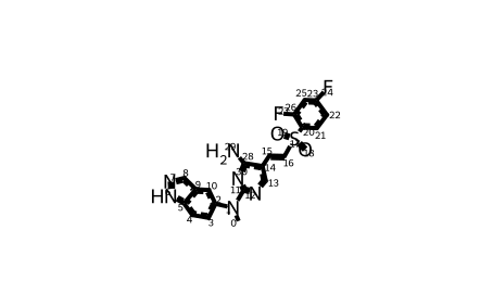 CN(c1ccc2[nH]ncc2c1)c1ncc(/C=C/S(=O)(=O)c2ccc(F)cc2F)c(N)n1